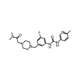 Cc1ccc(NC(=O)Nc2cc(F)cc(CN3CCN(CC(=O)N(C)C)CC3)c2)cn1